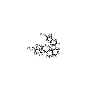 COC(C)(C)C1CN(C2COc3ccccc3C2Nc2ncnc3[nH]c(C(F)(F)F)cc23)C1